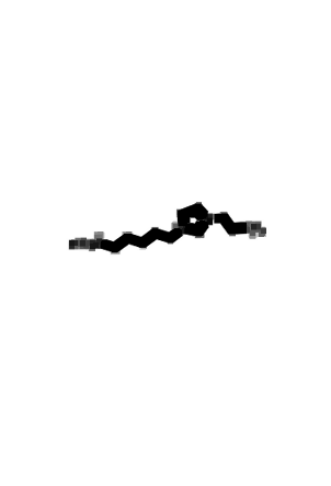 C=CC[n+]1ccn(CCCCCCCCCCCC)c1